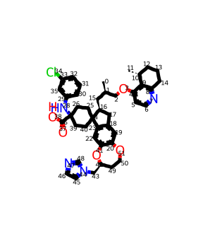 C[C@@H](COc1ccnc2c1[C@H](C)CCC2)C[C@H]1Cc2cc3c(cc2C12CCC(Nc1cccc(Cl)c1)(C(=O)O)CC2)O[C@H](Cn1ccnc1)CCO3